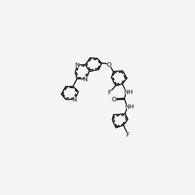 O=C(Nc1cccc(F)c1)Nc1ccc(Oc2ccc3ncc(-c4cccnc4)nc3c2)cc1F